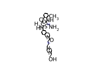 C=C(Nc1ccc2c(c1)CCN(C(=O)/C=C/CN1CCN(CCO)CC1)C2)S/C(=C\N)C(=O)Nc1c(C)cccc1Cl